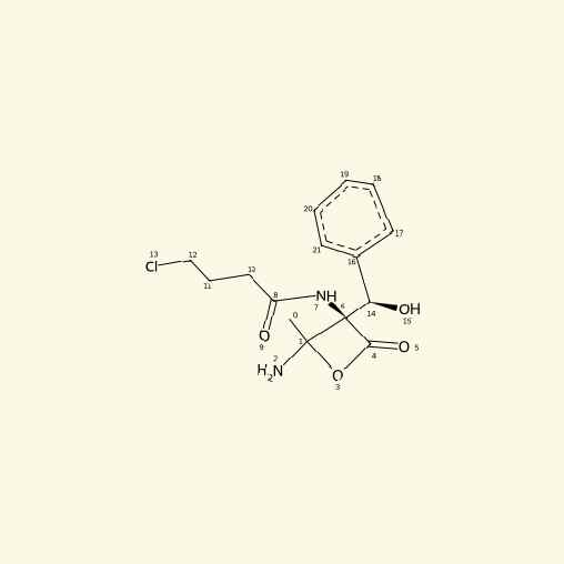 CC1(N)OC(=O)[C@@]1(NC(=O)CCCCl)[C@H](O)c1ccccc1